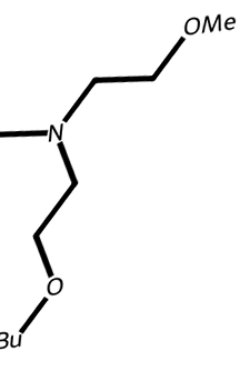 COCCN(C)CCOC(C)(C)C